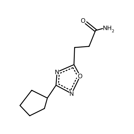 NC(=O)CCc1nc(C2CCCC2)no1